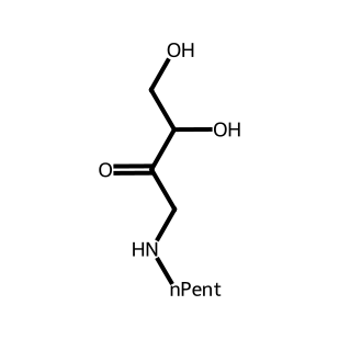 CCCCCNCC(=O)C(O)CO